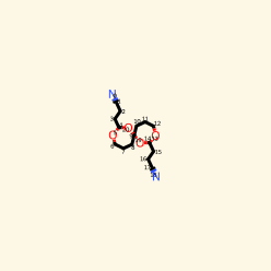 N#CCCC1OCCCC2(CCCOC(CCC#N)O2)O1